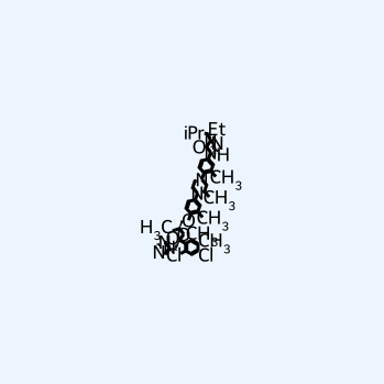 [2H]c1nn(C(CC)C(C)C)c(=O)n1-c1ccc(N2CCN(c3ccc(OC[C@H]4O[C@](Cn5cncn5)(c5c(Cl)cc(Cl)c(C)c5C)OC4C)c(C)c3)C(C)C2)c(C)c1